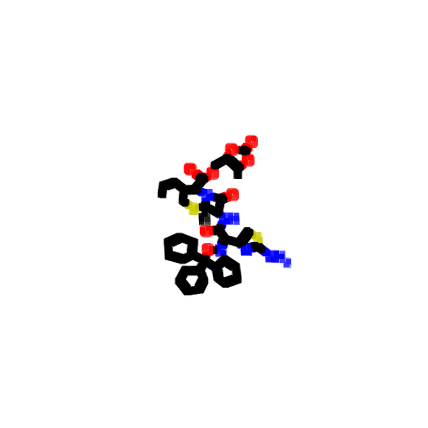 C/C=C\C1=C(C(=O)OCc2oc(=O)oc2C)N2C(=O)C(NC(=O)/C(=N\OC(c3ccccc3)(c3ccccc3)c3ccccc3)c3csc(N)n3)[C@@H]2SC1